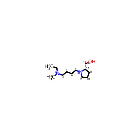 CCN(C)CC[CH]CN1CCC[C@H]1CO